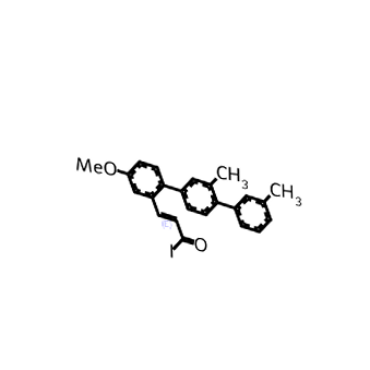 COc1ccc(-c2ccc(-c3cccc(C)c3)c(C)c2)c(/C=C/C(=O)I)c1